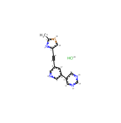 Cc1nc(C#Cc2cncc(-c3cncnc3)c2)cs1.Cl